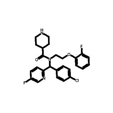 O=C(C1CCNCC1)N(CCOc1ccccc1F)C(c1ccc(Cl)cc1)c1ccc(F)cn1